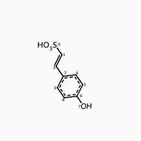 O=S(=O)(O)C=Cc1ccc(O)cc1